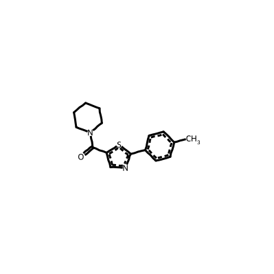 Cc1ccc(-c2ncc(C(=O)N3CCCCC3)s2)cc1